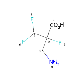 NCC(F)(C(=O)O)C(F)F